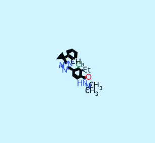 CCc1c(C(=O)NN(C)C)ccc(-c2nnc(C3(c4ccccc4)CC3)n2C)c1Cl